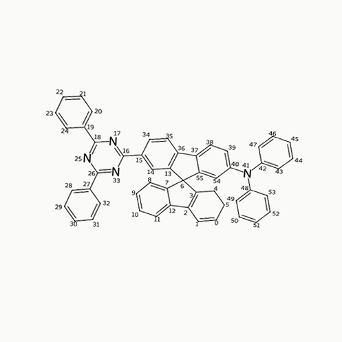 C1=CC2=C(CC1)C1(c3ccccc32)c2cc(-c3nc(-c4ccccc4)nc(-c4ccccc4)n3)ccc2-c2ccc(N(c3ccccc3)c3ccccc3)cc21